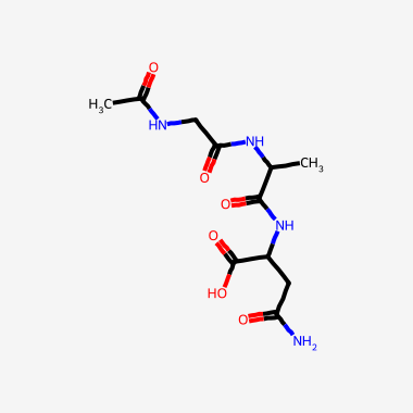 CC(=O)NCC(=O)NC(C)C(=O)NC(CC(N)=O)C(=O)O